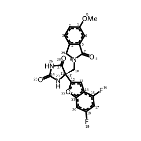 COc1ccc2c(c1)C(=O)N(C[C@@]1(c3cc4c(F)cc(F)cc4o3)NC(=O)NC1=O)C2